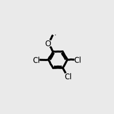 [CH2]Oc1cc(Cl)c(Cl)cc1Cl